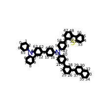 c1ccc(-n2c3ccccc3c3cc(-c4ccc(N(c5ccc(-c6cccc(-c7ccc8ccccc8c7)c6)cc5)c5ccc(-c6cccc7c6sc6ccccc67)cc5)cc4)ccc32)cc1